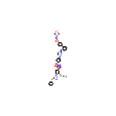 O=C(NS(=O)(=O)c1ccc(NCCSc2ccccc2)c([N+](=O)[O-])c1)c1ccc(N2CCN(Cc3ccccc3-c3ccc(OCCN4CCOCC4)cc3)CC2)cc1